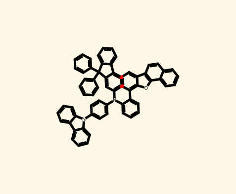 c1ccc(C2(c3ccccc3)c3ccccc3-c3ccc(N(c4ccc(-n5c6ccccc6c6ccccc65)cc4)c4ccccc4-c4cccc5c4oc4c6ccccc6ccc54)cc32)cc1